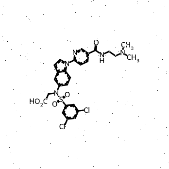 CN(C)CCNC(=O)c1ccc(-n2ccc3cc(N(CC(=O)O)S(=O)(=O)c4cc(Cl)cc(Cl)c4)ccc32)nc1